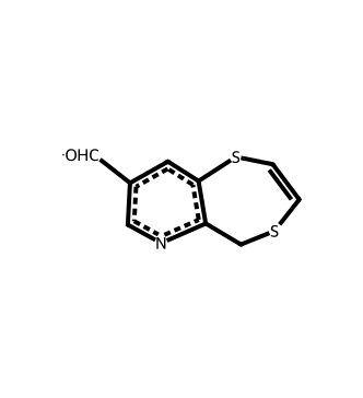 O=[C]c1cnc2c(c1)SC=CSC2